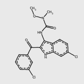 CON(C)C(=O)Nc1c(C(=O)c2cccc(Cl)c2)[nH]c2cc(Cl)ccc12